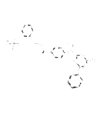 CNc1nc(-c2ccccc2)nc(N2CCc3cc(C(=O)NCc4ccccc4OC(F)(F)F)ccc32)n1